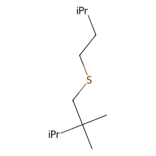 CC(C)CCSCC(C)(C)C(C)C